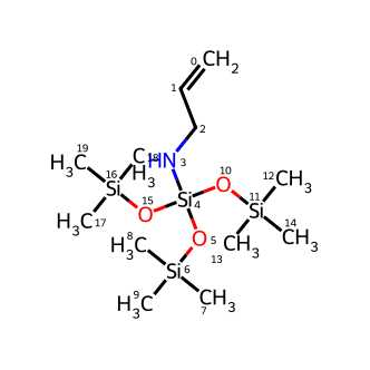 C=CCN[Si](O[Si](C)(C)C)(O[Si](C)(C)C)O[Si](C)(C)C